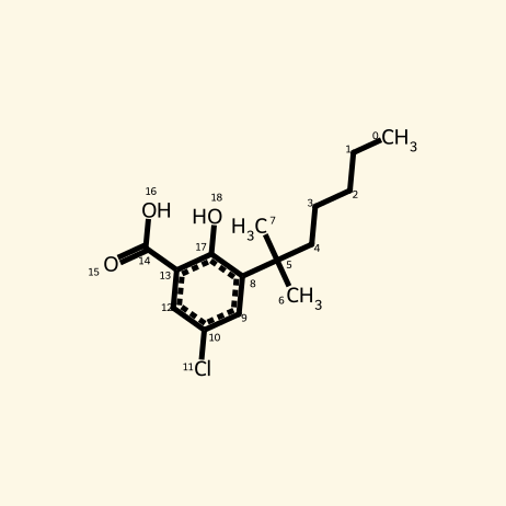 CCCCCC(C)(C)c1cc(Cl)cc(C(=O)O)c1O